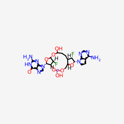 Nc1nc2c(ncn2[C@@H]2OC3OC(O)CC[C@H]4[C@H](F)[C@H](n5ccc6c(N)ncnc65)O[C@@H]4COP(O)O[C@@H]2[C@@H]3F)c(=O)[nH]1